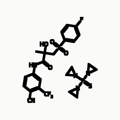 CC(O)(CS(=O)(=O)c1ccc(F)cc1)C(=O)Nc1ccc(C#N)c(C(F)(F)F)c1.S=P(N1CC1)(N1CC1)N1CC1